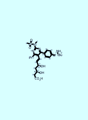 CC(C)(C)N.CC(C)c1nc(N(C)S(C)(=O)=O)nc(-c2ccc(F)cc2)c1C=C[C@@H](O)C[C@@H](O)CC(=O)O